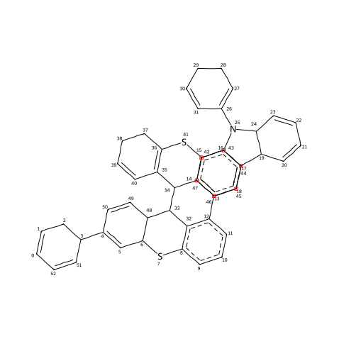 C1=CCC(C2=CC3Sc4cccc(C5=CCC6C(=C5)C5C=CC=CC5N6C5=CCCC=C5)c4C(C4C5=C(CCC=C5)Sc5ccccc54)C3C=C2)C=C1